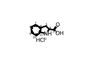 Cl.O=C(O)C1Cc2ccccc2N1